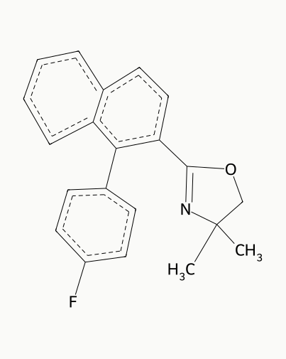 CC1(C)COC(c2ccc3ccccc3c2-c2ccc(F)cc2)=N1